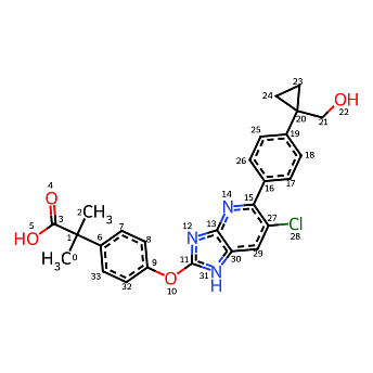 CC(C)(C(=O)O)c1ccc(Oc2nc3nc(-c4ccc(C5(CO)CC5)cc4)c(Cl)cc3[nH]2)cc1